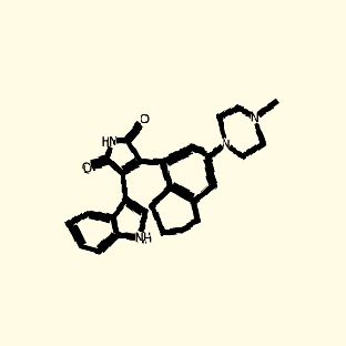 CN1CCN(c2cc3c(c(C4=C(c5c[nH]c6ccccc56)C(=O)NC4=O)c2)CCCC3)CC1